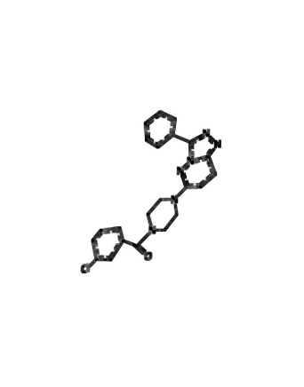 O=C(c1cccc(Cl)c1)N1CCN(c2ccc3nnc(-c4ccccc4)n3n2)CC1